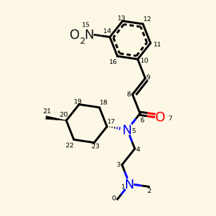 CN(C)CCN(C(=O)C=Cc1cccc([N+](=O)[O-])c1)[C@H]1CC[C@H](C)CC1